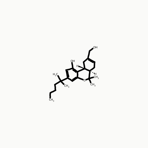 CCCCC(C)(C)c1cc(O)c2c(c1)OC(C)(C)[C@@H]1CC=C(CO)C[C@@H]21